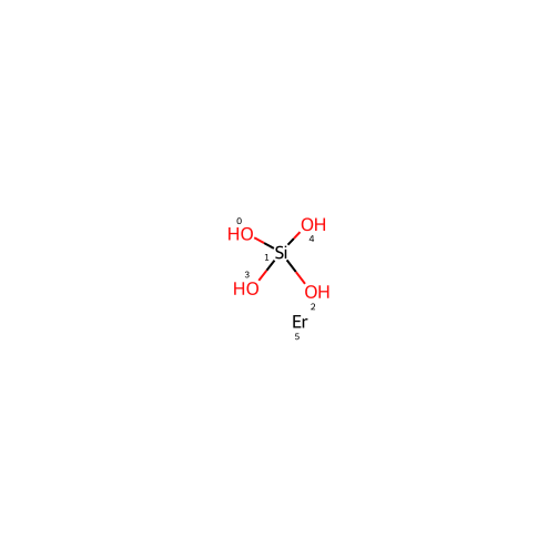 O[Si](O)(O)O.[Er]